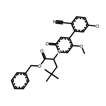 COc1cn(C(CC(C)(C)C)C(=O)OCc2ccccc2)c(=O)cc1-c1cc(Cl)ccc1C#N